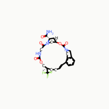 C[C@@]1(C(F)(F)F)CC/C=C/c2cccc3c2CN(C3)C(=O)O[C@@H]2C[C@@H](C(N)=O)N(C2)C(=O)CNC(=O)OC1